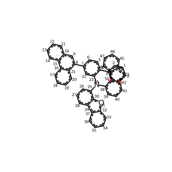 c1ccc(-c2ccc(-c3cc4ccccc4c4ccccc34)cc2N(c2cccc3c2oc2ccccc23)c2cccc3sc4ccccc4c23)cc1